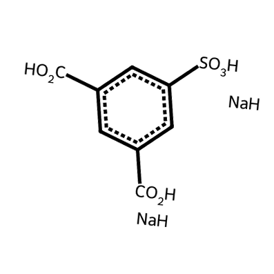 O=C(O)c1cc(C(=O)O)cc(S(=O)(=O)O)c1.[NaH].[NaH]